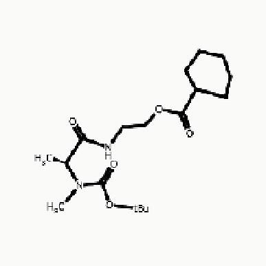 C[C@@H](C(=O)NCCOC(=O)C1CCCCC1)N(C)C(=O)OC(C)(C)C